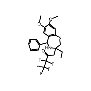 CCC1(CC(=O)C(F)(F)C(F)(F)F)CSc2cc(OC)c(OC)cc2C(c2ccccc2)N1